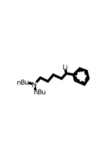 [Li][CH](CCCCN(CCCC)CCCC)c1ccccc1